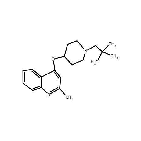 Cc1cc(OC2CCN(CC(C)(C)C)CC2)c2ccccc2n1